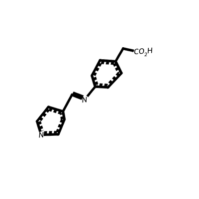 O=C(O)Cc1ccc(N=Cc2ccncc2)cc1